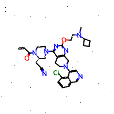 C=CC(=O)N1CCN(c2nc(OCCN(C)C3CCC3)nc3c2CCN(c2cncc4cccc(Cl)c24)C3)C[C@@H]1CC#N